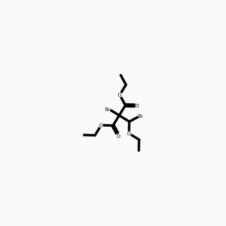 CCOC(=O)C(Br)(C(=O)OCC)C(Br)OCC